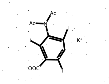 CC(=O)N(C(C)=O)c1c(I)cc(I)c(C(=O)[O-])c1I.[K+]